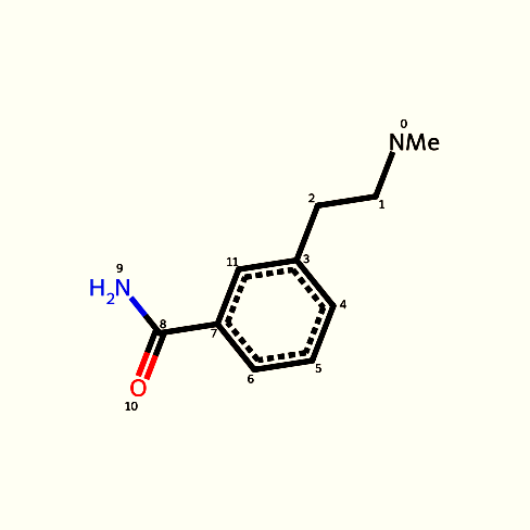 CNCCc1cccc(C(N)=O)c1